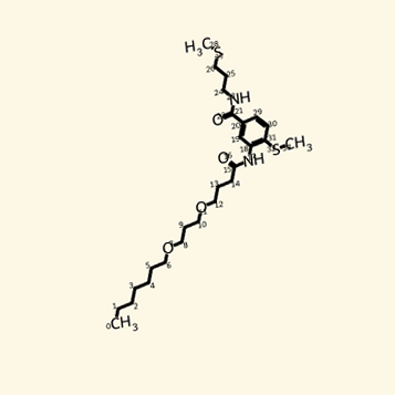 CCCCCCCOCCCOCCCC(=O)Nc1cc(C(=O)NCCCSC)ccc1SC